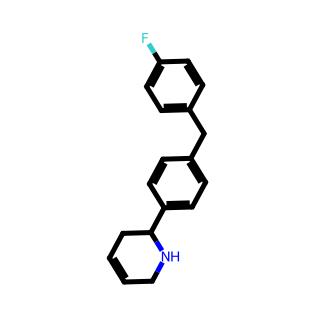 Fc1ccc(Cc2ccc(C3CC=CCN3)cc2)cc1